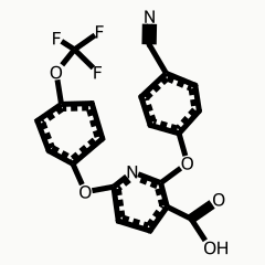 N#Cc1ccc(Oc2nc(Oc3ccc(OC(F)(F)F)cc3)ccc2C(=O)O)cc1